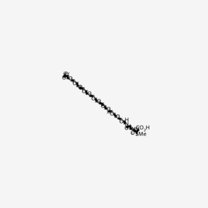 CSC(CC(=O)O)C(=O)NCCC(=O)NCCOCCOCCOCCOCCOCCOCCOCCOCCOCCOCCOCCOCCC(=O)C(C)C